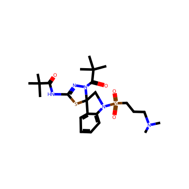 CN(C)CCCS(=O)(=O)N1CC2(SC(NC(=O)C(C)(C)C)=NN2C(=O)C(C)(C)C)c2ccccc21